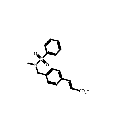 CN(Cc1ccc(C=CC(=O)O)cc1)S(=O)(=O)c1ccccc1